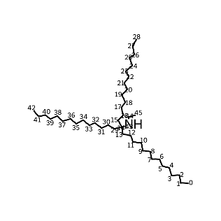 CCCCCCCCCCCCCCC(CCCCCCCCCCCCCC)(CCCCCCCCCCCCCC)NCC